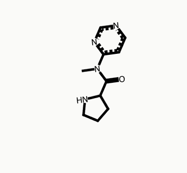 CN(C(=O)C1CCCN1)c1ccncn1